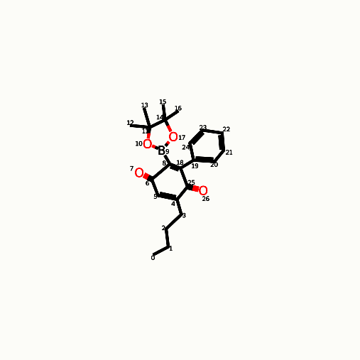 CCCCC1=CC(=O)C(B2OC(C)(C)C(C)(C)O2)=C(c2ccccc2)C1=O